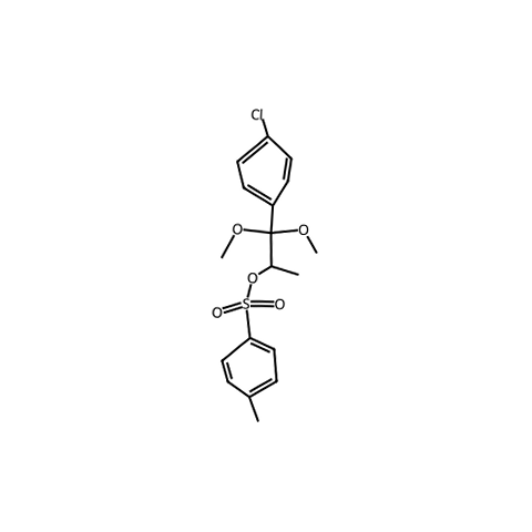 COC(OC)(c1ccc(Cl)cc1)C(C)OS(=O)(=O)c1ccc(C)cc1